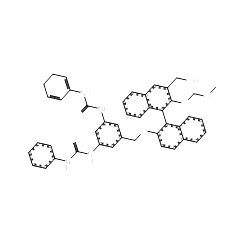 COCOc1c(CO)cc2ccccc2c1-c1c(OCc2cc(NC(=O)NC3=CCCC=C3)cc(NC(=O)Nc3ccccc3)c2)ccc2ccccc12